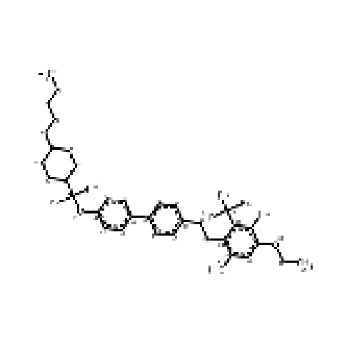 CCCCCC1CCC(C(F)(F)Oc2ccc(-c3ccc(CCc4c(C)cc(OCC)c(F)c4C(F)(F)F)cc3)cc2)CC1